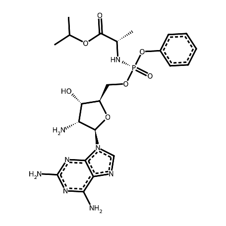 CC(C)OC(=O)[C@H](C)N[P@](=O)(OC[C@H]1O[C@@H](n2cnc3c(N)nc(N)nc32)[C@H](N)[C@@H]1O)Oc1ccccc1